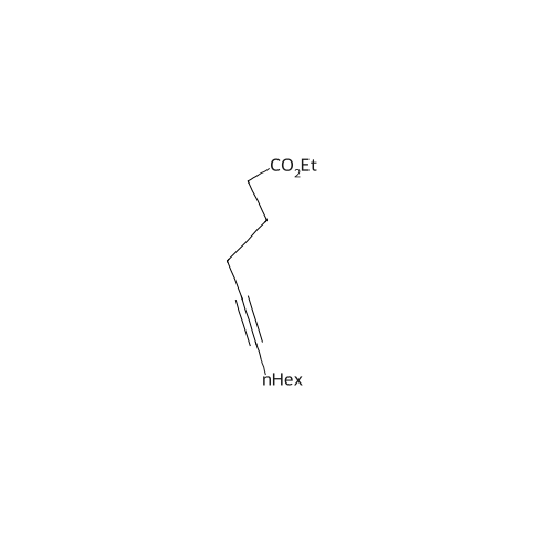 CCCCCCC#CCCCC(=O)OCC